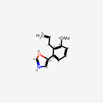 C=CCc1c(OC)cccc1-c1cnco1